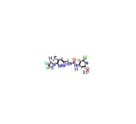 CCOc1cc(NC(=O)NCc2cc(C)c(N3CC(F)(F)C3)nn2)cc(Cl)n1